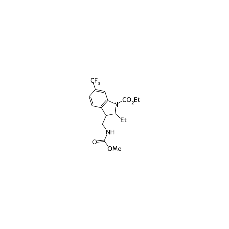 CCOC(=O)N1c2cc(C(F)(F)F)ccc2C(CNC(=O)OC)C1CC